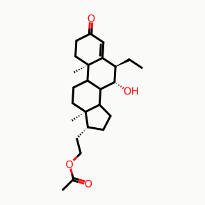 CC[C@@H]1C2=CC(=O)CC[C@]2(C)C2CC[C@@]3(C)C(CC[C@@H]3CCOC(C)=O)C2[C@H]1O